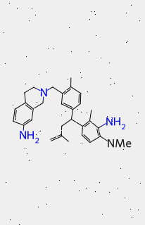 C=C(C)CC(c1ccc(C)c(CN2CCc3ccc(N)cc3C2)c1)c1ccc(NC)c(N)c1C